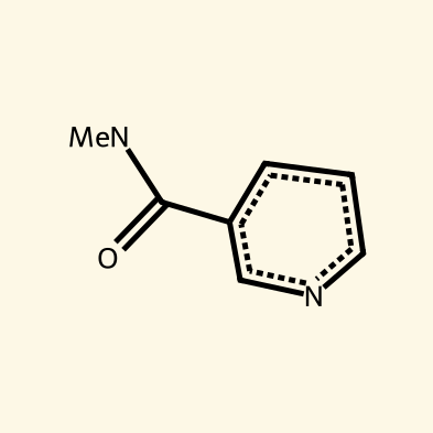 [CH]NC(=O)c1cccnc1